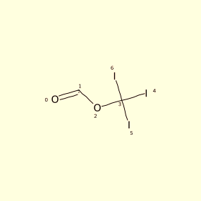 O=[C]OC(I)(I)I